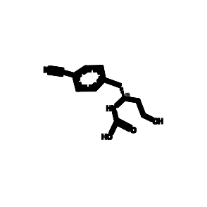 N#Cc1ccc(C[C@H](CCO)NC(=O)O)cc1